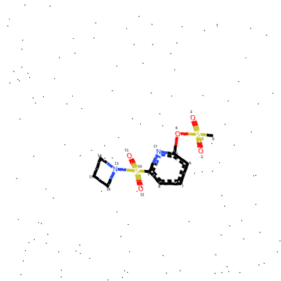 CS(=O)(=O)Oc1cccc(S(=O)(=O)N2CCC2)n1